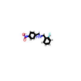 O=[N+]([O-])c1ccc(CNCc2ccccc2F)cc1